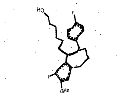 COc1cc2c(cc1F)C(CCCCCCO)=C(c1ccc(F)cc1)CCC2